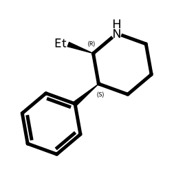 CC[C@H]1NCCC[C@H]1c1ccccc1